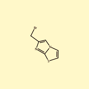 BrCc1cn2ccsc2n1